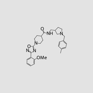 COc1ccccc1-c1noc(N2CCC(C(=O)NCC3CCN(Cc4ccc(C)cc4)C3)CC2)n1